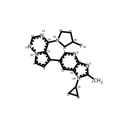 Cc1nc2ncc(-c3ccn4ncnc(N5CCC(F)C5)c34)cc2n1C1CC1